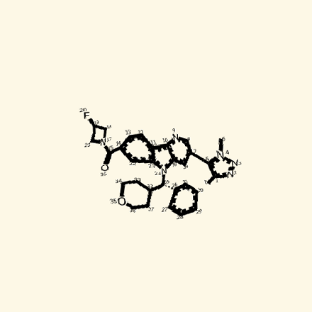 Cc1nnn(C)c1-c1cnc2c3ccc(C(=O)N4CC(F)C4)cc3n([C@H](c3ccccc3)C3CCOCC3)c2c1